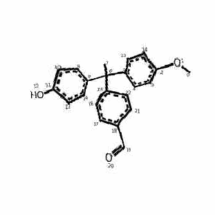 COc1ccc(C(C)(c2ccc(O)cc2)c2ccc(C=O)cc2)cc1